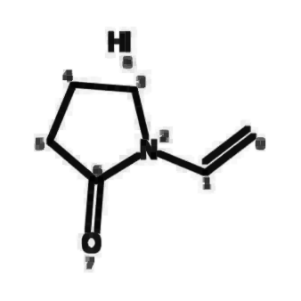 C=CN1CCCC1=O.I